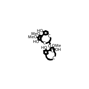 COc1c2cc(c(O)c1OC)CCC/C(COc1c3cc(c(O)c1OC)CCCC/C=C\Cc1ccc(O)c-3c1)=C\CCc1ccc(O)c-2c1